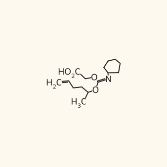 C=CCCC(C)OC(=NC1CCCCC1)OCC(=O)O